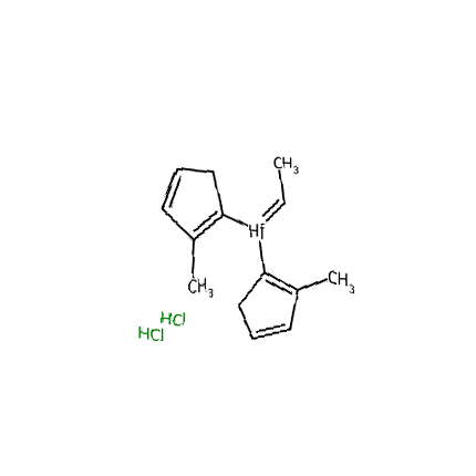 C[CH]=[Hf]([C]1=C(C)C=CC1)[C]1=C(C)C=CC1.Cl.Cl